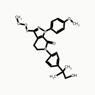 COOSc1nn(-c2ccc(OC)cc2)c2c1CCN(c1ccc(C(C)(C)CO)cc1)C2=O